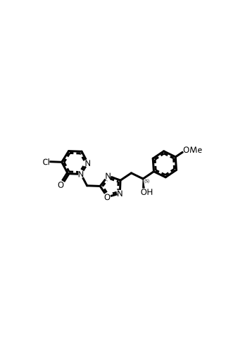 COc1ccc([C@@H](O)Cc2noc(Cn3nccc(Cl)c3=O)n2)cc1